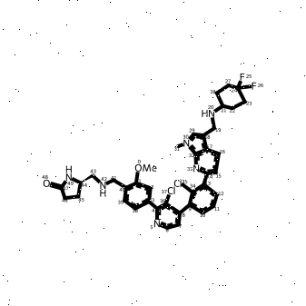 COc1cc(-c2nccc(-c3cccc(-c4ccc5c(CNC6CCC(F)(F)CC6)cn(C)c5n4)c3Cl)c2Cl)ccc1CNC[C@H]1CCC(=O)N1